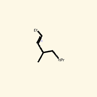 CC/C=C/C(C)CCCC